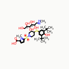 CNC[C@H](O)[C@@H](O)[C@H](O)[C@H](O)CO.Cn1c(C(=O)O)ccc1S(=O)(=O)N1CCC(Sc2cc(C(C)(C)C)c(O)c(C(C)(C)C)c2)CC1